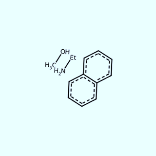 CCN.CO.c1ccc2ccccc2c1